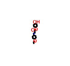 CCOc1ccc(/C=C/C(=O)Oc2ccc(O)cc2)cc1